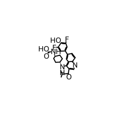 CC(C)C(=O)c1cnc2ccc(-c3cc(F)c(O)c(F)c3)cc2c1N[C@H]1CC[C@H](NC(=O)O)CC1